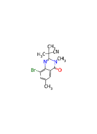 Cc1cc(Br)c2nc(C(C)(C)C#N)n(C)c(=O)c2c1